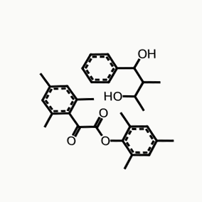 CC(O)C(C)C(O)c1ccccc1.Cc1cc(C)c(OC(=O)C(=O)c2c(C)cc(C)cc2C)c(C)c1